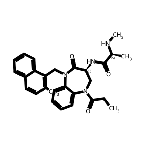 CCC(=O)N1C[C@H](NC(=O)[C@H](C)NC)C(=O)N(Cc2c(C)ccc3ccccc23)c2ccccc21